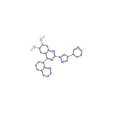 COc1cc2nc(-n3cc(-c4cccnc4)cn3)nc(-c3cccc4cccnc34)c2cc1OC